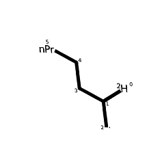 [2H]C([CH2])CCCCC